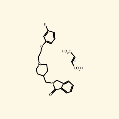 O=C(O)/C=C/C(=O)O.O=C1c2ccccc2CN1CC1CCN(CCOc2cccc(F)c2)CC1